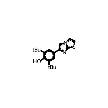 CC(C)(C)c1cc(-c2cn3ccsc3n2)cc(C(C)(C)C)c1O